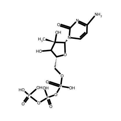 C[C@]1(O)C(O)[C@@H](COP(=O)(O)OP(=O)(O)OP(=O)(O)O)O[C@H]1n1ccc(N)nc1=O